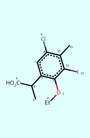 CCOc1c(C(C)C(=O)O)cc(Cl)c(C)c1I